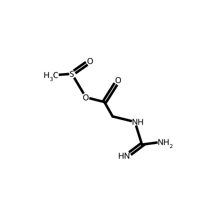 CS(=O)OC(=O)CNC(=N)N